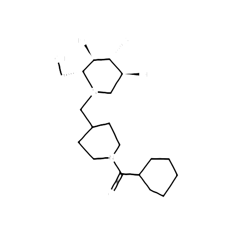 O=C(C1CCCCC1)N1CCC(CN2C[C@H](O)[C@@H](O)[C@H](O)[C@H]2CO)CC1